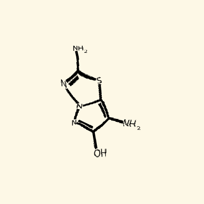 Nc1nn2nc(O)c(N)c2s1